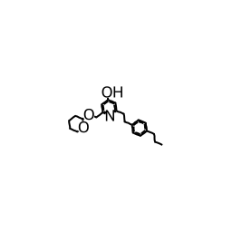 CCCc1ccc(CCc2cc(O)cc(COC3CCCCO3)n2)cc1